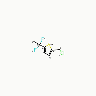 CC(F)(F)c1ccc(CCl)s1